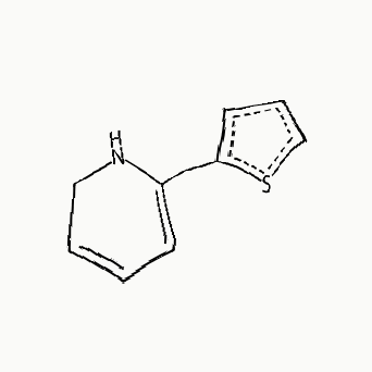 C1=CCNC(c2cccs2)=C1